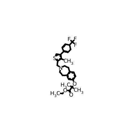 CCOC(=O)C(C)(C)Oc1ccc2c(c1)CCN(Cc1scc(C3=CCC(C(F)(F)F)C=C3)c1C)CC2